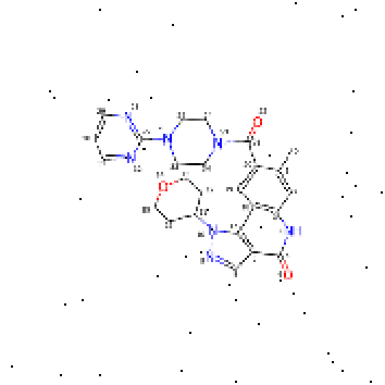 Cc1cc2[nH]c(=O)c3cnn(C4CCOCC4)c3c2cc1C(=O)N1CCN(c2ncccn2)CC1